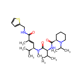 C/C(=C\[C@H](C(C)C)N(C)C(=O)[C@@H](NC(=O)[C@H]1CCCCN1C(C)C)C(C)C)C(=O)NCc1cccs1